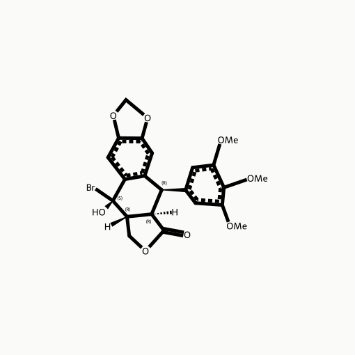 COc1cc([C@@H]2c3cc4c(cc3[C@@](O)(Br)[C@H]3COC(=O)[C@H]23)OCO4)cc(OC)c1OC